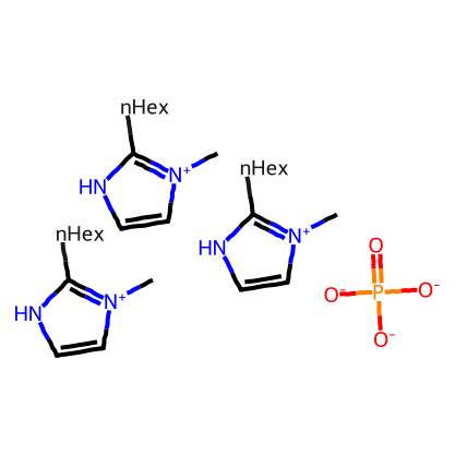 CCCCCCc1[nH]cc[n+]1C.CCCCCCc1[nH]cc[n+]1C.CCCCCCc1[nH]cc[n+]1C.O=P([O-])([O-])[O-]